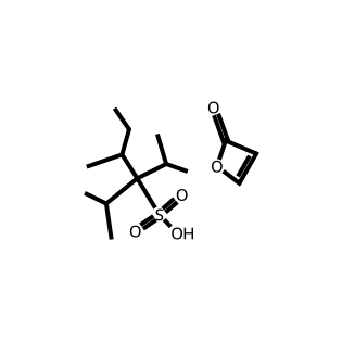 CCC(C)C(C(C)C)(C(C)C)S(=O)(=O)O.O=C1C=CO1